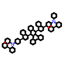 c1ccc(-c2ccccc2N(c2ccccc2)c2ccc(-c3ccc(-c4c5ccccc5c(-c5ccc(-c6ccc(N(c7ccccc7)c7ccccc7-c7ccccc7)cc6)c6ccccc56)c5c6ccccc6c6ccccc6c45)c4ccccc34)cc2)cc1